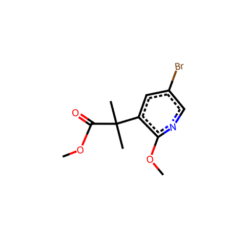 COC(=O)C(C)(C)c1cc(Br)cnc1OC